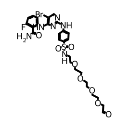 NC(=O)c1c(F)cccc1Nc1nc(Nc2ccc(S(=O)(=O)NCCOCCOCCOCCOCC=O)cc2)ncc1Br